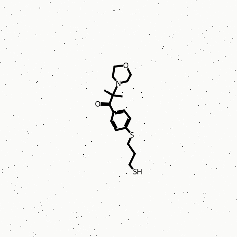 CC(C)(C(=O)c1ccc(SCCCS)cc1)N1CCOCC1